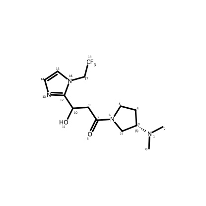 CN(C)[C@H]1CCN(C(=O)CC(O)c2nccn2CC(F)(F)F)C1